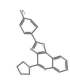 FC(F)(F)c1ccc(-c2nc3c(N4CCCC4)nc4ccccc4c3o2)cc1